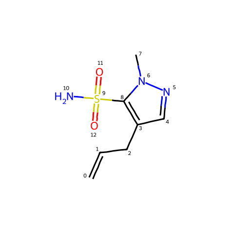 C=CCc1cnn(C)c1S(N)(=O)=O